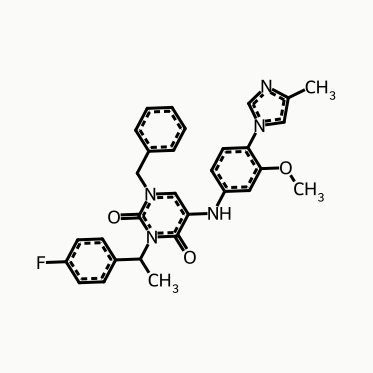 COc1cc(Nc2cn(Cc3ccccc3)c(=O)n(C(C)c3ccc(F)cc3)c2=O)ccc1-n1cnc(C)c1